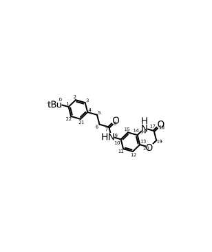 CC(C)(C)c1ccc(CCC(=O)Nc2ccc3c(c2)NC(=O)CO3)cc1